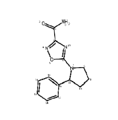 NC(=O)c1noc(N2CCCC2c2ccccc2)n1